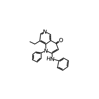 CCc1cncc2c(=O)cc(Nc3ccccc3)n(-c3ccccc3)c12